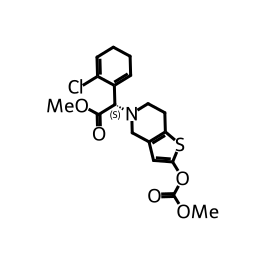 COC(=O)Oc1cc2c(s1)CCN([C@H](C(=O)OC)C1=CCCC=C1Cl)C2